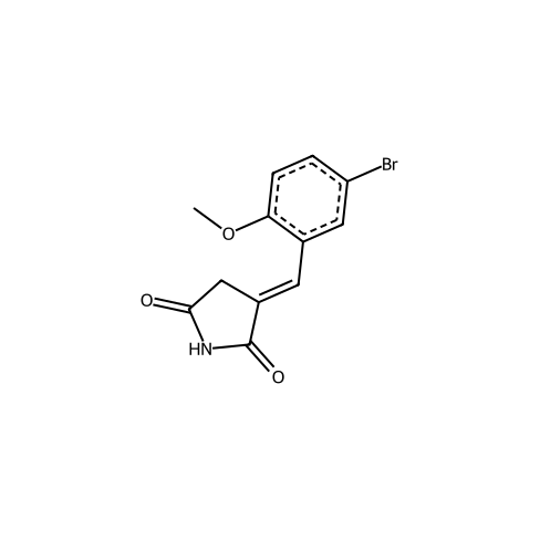 COc1ccc(Br)cc1C=C1CC(=O)NC1=O